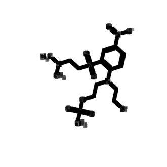 CN(C)CCS(=O)(=O)c1cc([N+](=O)[O-])ccc1N(CCBr)CCOS(C)(=O)=O